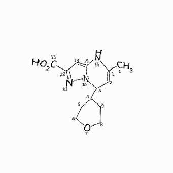 CC1=CC(C2CCOCC2)n2nc(C(=O)O)cc2N1